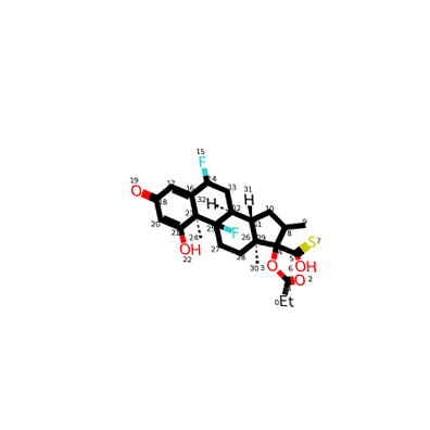 CCC(=O)OC1(C(O)=S)C(C)C[C@H]2[C@@H]3CC(F)C4=CC(=O)C=C(O)[C@]4(C)C3(F)CC[C@@]21C